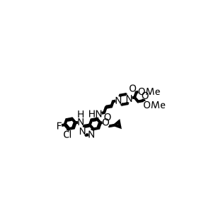 COC(=O)CC(C(=O)OC)N1CCN(CC=CC(=O)Nc2cc3c(Nc4ccc(F)c(Cl)c4)ncnc3cc2OCC2CC2)CC1